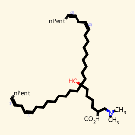 CCCCC/C=C\C/C=C\CCCCCCCCC(O)(CCCCCCCC/C=C\C/C=C\CCCCC)CCCCC(CN(C)C)C(=O)O